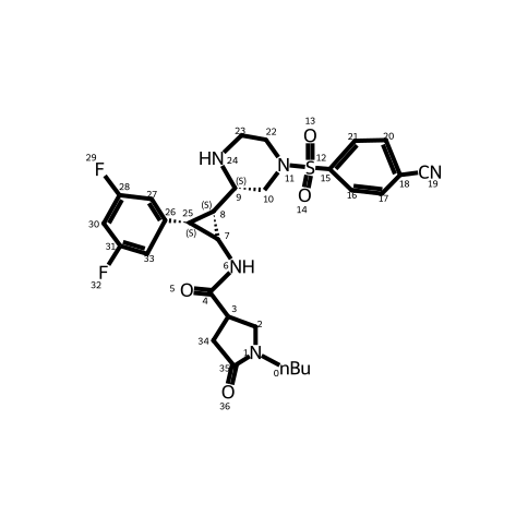 CCCCN1CC(C(=O)NC2[C@@H]([C@H]3CN(S(=O)(=O)c4ccc(C#N)cc4)CCN3)[C@H]2c2cc(F)cc(F)c2)CC1=O